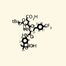 CC(C)(C)OC(=O)NC(CCC(=O)O)C(=O)N[C@H](CCc1ccc(C(F)(F)F)cc1)C(=O)Nc1ccc2c(c1)B(O)OC2(C)C